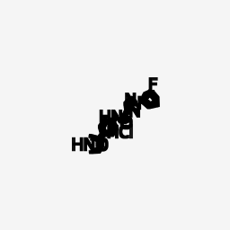 Cl.O=C(Nc1ccc(C2CNCCO2)cc1)c1cnn(-c2cccc(F)c2)n1